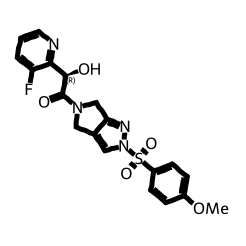 COc1ccc(S(=O)(=O)n2cc3c(n2)CN(C(=O)[C@H](O)c2ncccc2F)C3)cc1